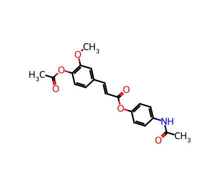 COc1cc(/C=C/C(=O)Oc2ccc(NC(C)=O)cc2)ccc1OC(C)=O